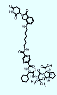 CC(C)(C)[C@H](NC(=O)[C@@H](NC(=O)c1cnc(C(=O)NCCCCCCNc2cccc3c2CN(C2CCC(=O)NC2=O)C3=O)cn1)C1CCCCC1)C(=O)N1C[C@@H]2CCC[C@@H]2[C@H]1C(=O)O